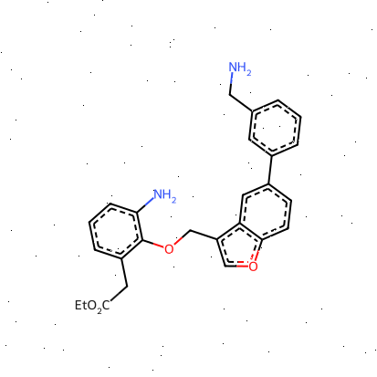 CCOC(=O)Cc1cccc(N)c1OCc1coc2ccc(-c3cccc(CN)c3)cc12